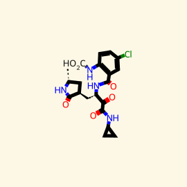 C[C@@H]1C[C@@H](C[C@H](NC(=O)c2cc(Cl)ccc2NC(=O)O)C(=O)C(=O)NC2CC2)C(=O)N1